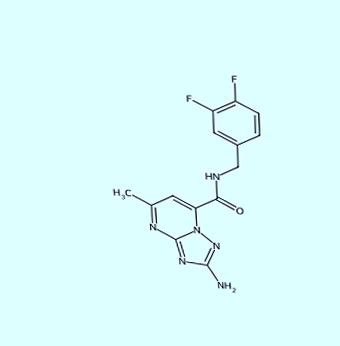 Cc1cc(C(=O)NCc2ccc(F)c(F)c2)n2nc(N)nc2n1